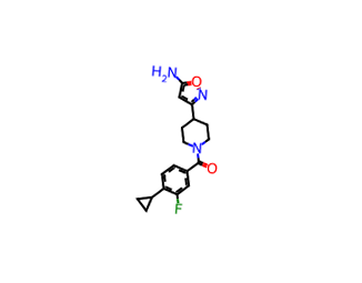 Nc1cc(C2CCN(C(=O)c3ccc(C4CC4)c(F)c3)CC2)no1